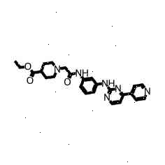 CCOC(=O)C1CCN(CC(=O)Nc2cccc(Nc3nccc(-c4ccncc4)n3)c2)CC1